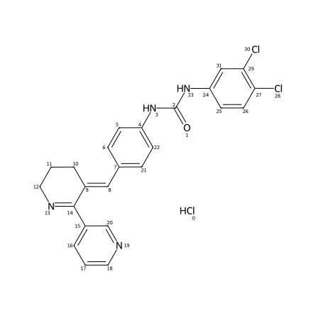 Cl.O=C(Nc1ccc(C=C2CCCN=C2c2cccnc2)cc1)Nc1ccc(Cl)c(Cl)c1